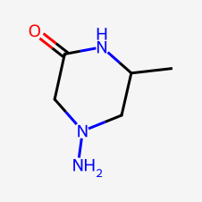 CC1CN(N)CC(=O)N1